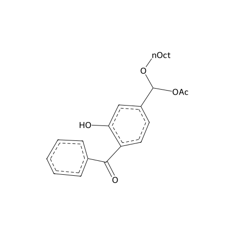 CCCCCCCCOC(OC(C)=O)c1ccc(C(=O)c2ccccc2)c(O)c1